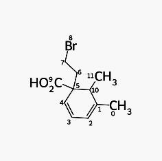 CC1=CC=CC(CCBr)(C(=O)O)C1C